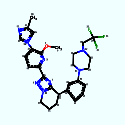 COc1nc(-c2nc3n(n2)CCC[C@@H]3c2cccc(N3CCN(CC(F)(F)F)CC3)c2)ccc1-n1cnc(C)c1